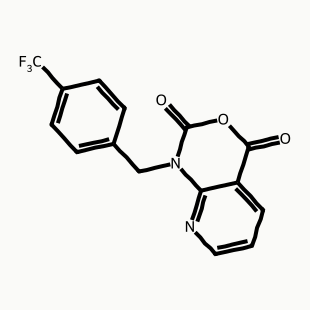 O=c1oc(=O)n(Cc2ccc(C(F)(F)F)cc2)c2ncccc12